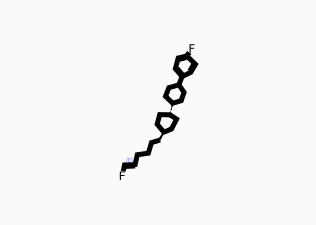 F/C=C/CCCC[C@H]1CC[C@H](C2CCC(c3ccc(F)cc3)CC2)CC1